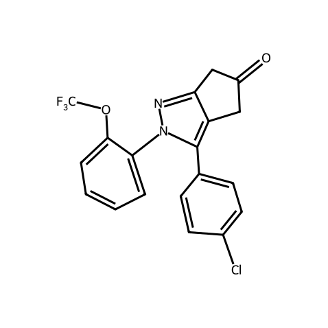 O=C1Cc2nn(-c3ccccc3OC(F)(F)F)c(-c3ccc(Cl)cc3)c2C1